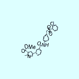 COC(=O)c1cc(-c2cccc(C(=O)Nc3ccc(CS(=O)(=O)c4ccccc4Cl)cc3)c2)cnc1C